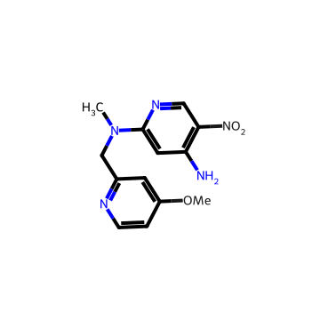 COc1ccnc(CN(C)c2cc(N)c([N+](=O)[O-])cn2)c1